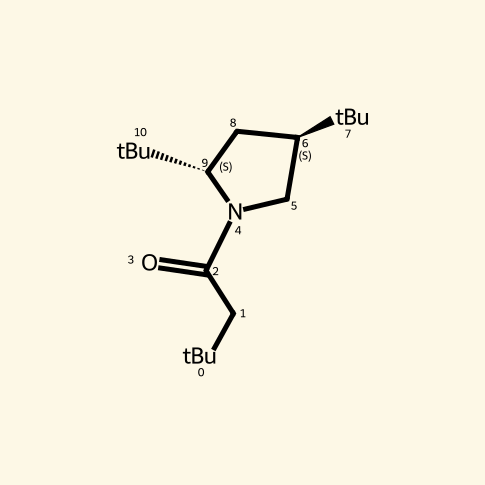 CC(C)(C)CC(=O)N1C[C@H](C(C)(C)C)C[C@H]1C(C)(C)C